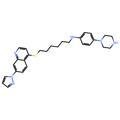 c1cnn(-c2ccc3c(SCCCCCCNc4ccc(N5CCNCC5)cc4)ccnc3c2)c1